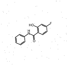 O=C(Nc1ccccc1)c1ccc(F)cc1O